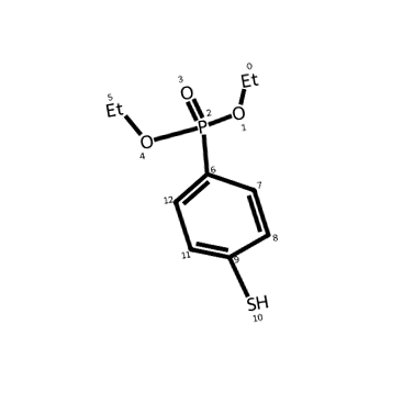 CCOP(=O)(OCC)c1ccc(S)cc1